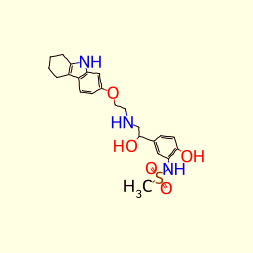 CS(=O)(=O)Nc1cc(C(O)CNCCOc2ccc3c4c([nH]c3c2)CCCC4)ccc1O